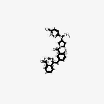 CN(c1ccc(Cl)nn1)C1CCN(C(=O)c2cc(Cc3n[nH]c(=O)c4ccccc34)ccc2F)C1